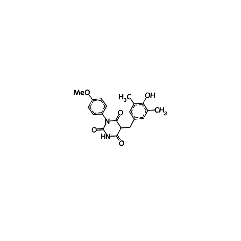 COc1ccc(N2C(=O)NC(=O)C(Cc3cc(C)c(O)c(C)c3)C2=O)cc1